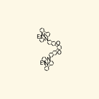 CCn1c2ccccc2c2cccc(N(c3ccccc3)c3ccc4cc5c(cc4c3)oc3ccc4oc6cc7cc(N(c8ccccc8)c8cccc9c%10ccccc%10n(CC)c89)ccc7cc6c4c35)c21